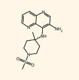 CC1(Nc2c(N)cnc3cccnc23)CCN(S(C)(=O)=O)CC1